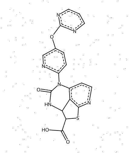 O=C(O)C1Sc2nccc3c2C1NC(=O)N3c1ccc(Oc2ncccn2)cn1